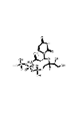 C=C(C)C[C@@H](OC(F)(COP(=O)(O)OP(=O)(O)OP(=O)(O)O)[C@@H](O)CO)n1ccc(=O)[nH]c1=O